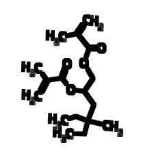 C=C(C)C(=O)OCC(CC(C)(CC)CC)OC(=O)C(=C)C